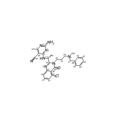 Cc1nc(N)nc(N[C@@H](C)c2nc3cccc(Cl)c3c(=O)n2CCCN(C)Cc2ccccc2)c1C#N